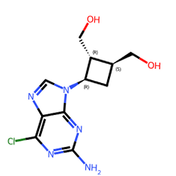 Nc1nc(Cl)c2ncn([C@@H]3C[C@H](CO)[C@H]3CO)c2n1